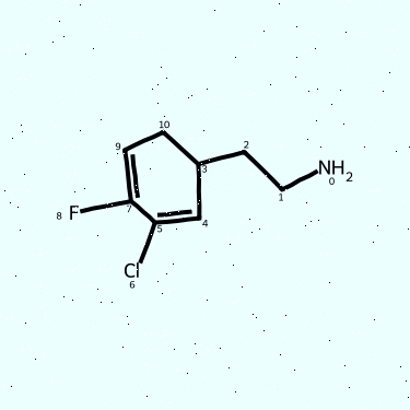 NCCC1C=C(Cl)C(F)=CC1